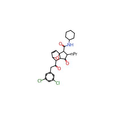 CCCC1C(=O)C2C(C(=O)Cc3cc(Cl)cc(Cl)c3)C3C=CC2(O3)C1C(=O)NC1CCCCC1